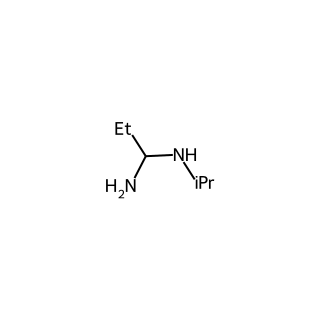 CCC(N)NC(C)C